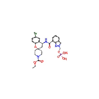 CCOC(=O)N1CCC2(CC1)C[C@H](NC(=O)c1cccc3cn(COP(=O)(O)O)nc13)c1cc(Br)ccc1O2